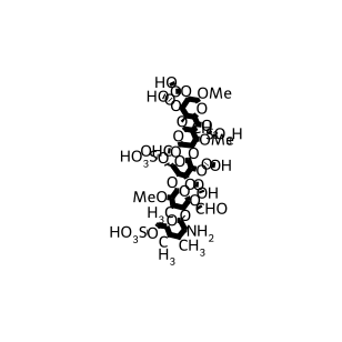 COC1[C@H](O[C@H]2C(OOO)C(OOO)[C@@H](O[C@H]3C(OC)C(C)[C@H](O[C@@H]4C(COS(=O)(=O)O)O[C@H](OC)C(OOO)[C@H]4OOO)O[C@H]3OC=O)O[C@H]2COS(=O)(=O)O)OC(OC=O)[C@@H](O[C@H]2OC(COS(=O)(=O)O)[C@@H](C)[C@H](C)C2N)[C@@H]1C